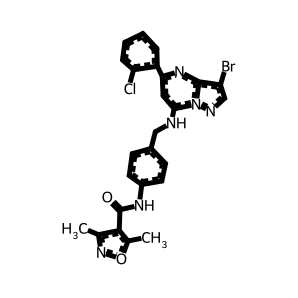 Cc1noc(C)c1C(=O)Nc1ccc(CNc2cc(-c3ccccc3Cl)nc3c(Br)cnn23)cc1